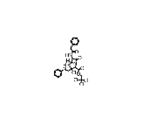 CC1(CNc2ccccc2)S[C@H]2C(NC(=O)Cc3ccccc3)C(=O)N2C1C(=O)OCC(Cl)(Cl)Cl